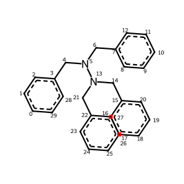 c1ccc(CN(Cc2ccccc2)N(Cc2ccccc2)Cc2ccccc2)cc1